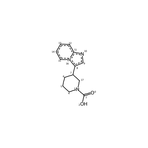 O=C(O)N1CCCC(c2cnc3ccccn23)C1